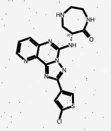 O=C1NCCNC[C@H]1Nc1nc2cccnc2c2nc(-c3csc(Cl)c3)nn12